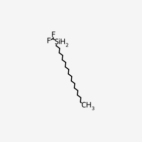 CCCCCCCCCCCCCCCCCC[SiH2]C(F)F